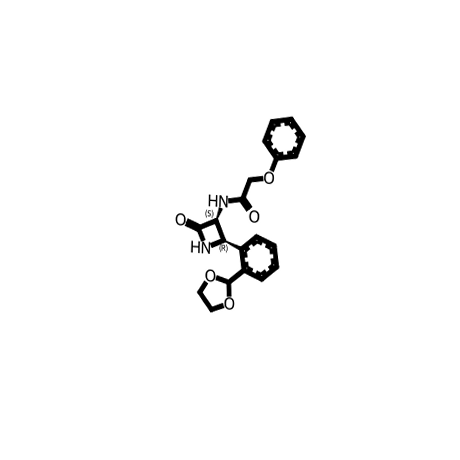 O=C(COc1ccccc1)N[C@@H]1C(=O)N[C@@H]1c1ccccc1C1OCCO1